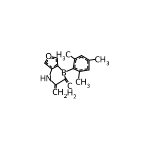 C=C1Nc2cocc2B(c2c(C)cc(C)cc2C)C1=C